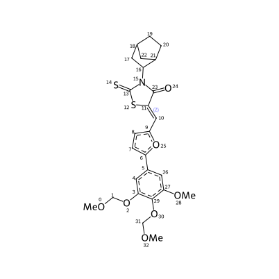 COCOc1cc(-c2ccc(/C=C3\SC(=S)N(C4CC5CCC4C5)C3=O)o2)cc(OC)c1OCOC